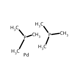 CP(C)C.CP(C)C.[Pd]